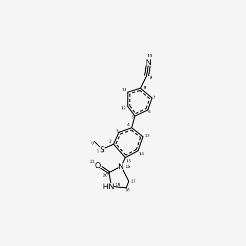 CSc1cc(-c2ccc(C#N)cc2)ccc1N1CCNC1=O